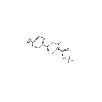 C=C(CN(C)N(C)C(=O)OC(C)(C)C)c1ccc(Cl)cc1